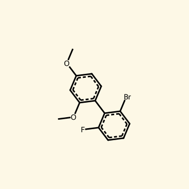 COc1ccc(-c2c(F)cccc2Br)c(OC)c1